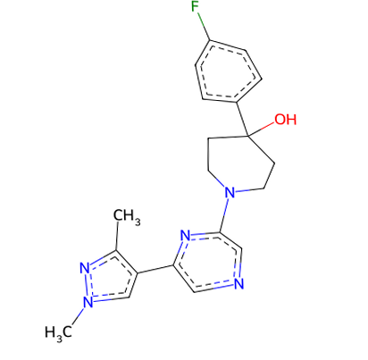 Cc1nn(C)cc1-c1cncc(N2CCC(O)(c3ccc(F)cc3)CC2)n1